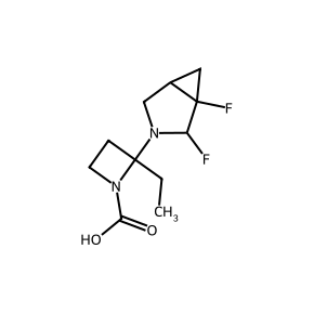 CCC1(N2CC3CC3(F)C2F)CCN1C(=O)O